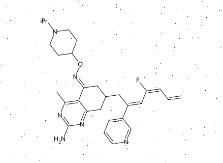 C=C/C=C(F)\C=C(/CC1C/C(=N\OC2CCN(C(C)C)CC2)c2c(C)nc(N)nc2C1)c1cccnc1